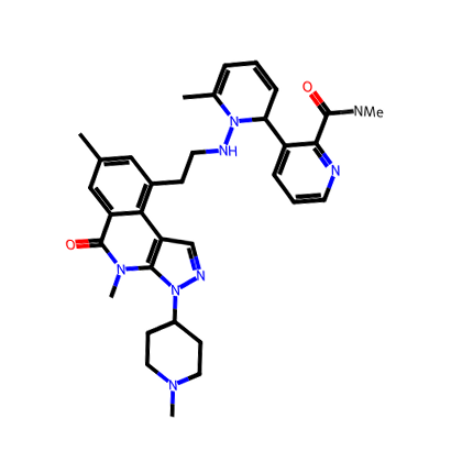 CNC(=O)c1ncccc1C1C=CC=C(C)N1NCCc1cc(C)cc2c(=O)n(C)c3c(cnn3C3CCN(C)CC3)c12